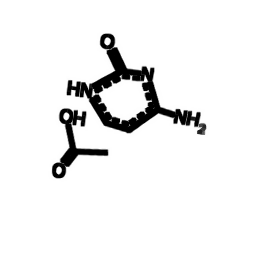 CC(=O)O.Nc1cc[nH]c(=O)n1